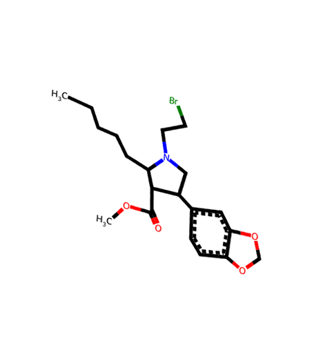 CCCCCC1C(C(=O)OC)C(c2ccc3c(c2)OCO3)CN1CCBr